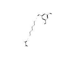 CC(=O)/C(C)=N/OCCCCCCO/N=C\c1cc(C=O)cc(C=O)c1